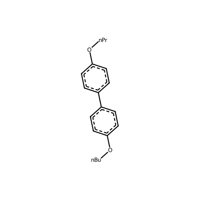 CCCCOc1ccc(-c2ccc(OCCC)cc2)cc1